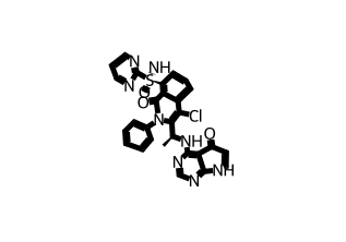 C[C@H](Nc1ncnc2[nH]ccc(=O)c12)c1c(Cl)c2cccc([S@@](=N)(=O)c3ncccn3)c2c(=O)n1-c1ccccc1